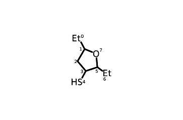 CCC1CC(S)C(CC)O1